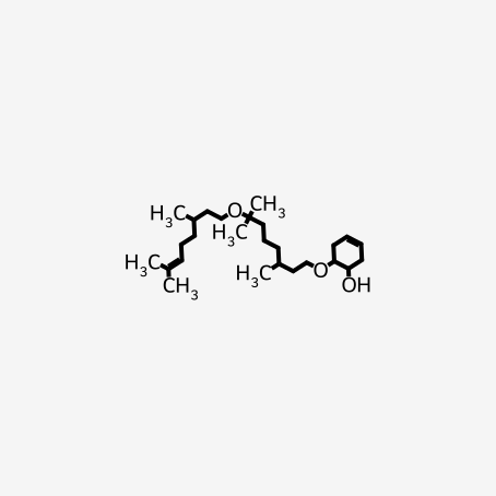 CC(C)=CCCC(C)CCOC(C)(C)CCCC(C)CCOC1CC=CCC1O